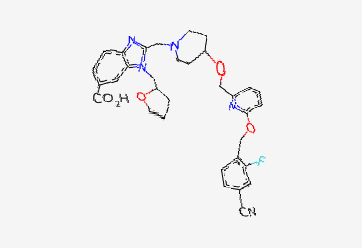 N#Cc1ccc(COc2cccc(COC3CCN(Cc4nc5ccc(C(=O)O)cc5n4CC4CCCO4)CC3)n2)c(F)c1